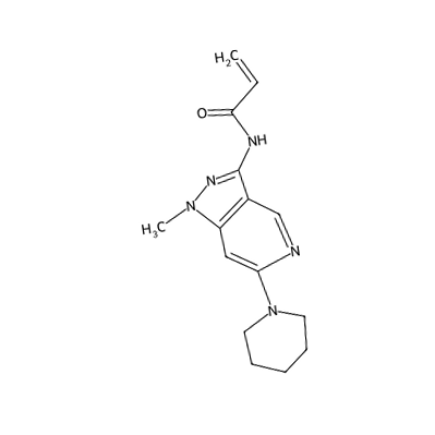 C=CC(=O)Nc1nn(C)c2cc(N3CCCCC3)ncc12